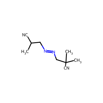 CC(C#N)CN=NCC(C)(C)C#N